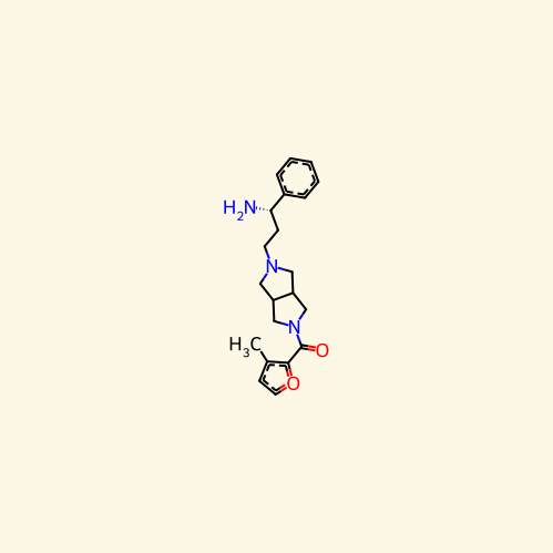 Cc1ccoc1C(=O)N1CC2CN(CC[C@H](N)c3ccccc3)CC2C1